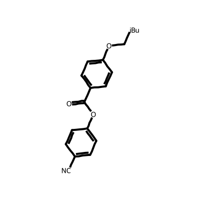 CCC(C)COc1ccc(C(=O)Oc2ccc(C#N)cc2)cc1